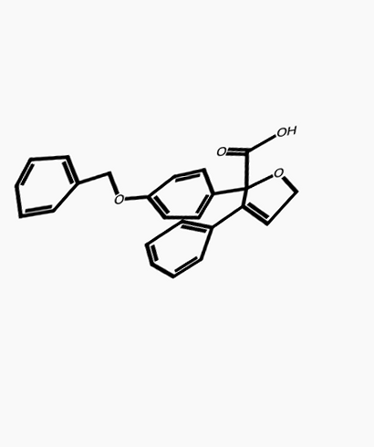 O=C(O)C1(c2ccc(OCc3ccccc3)cc2)OCC=C1c1ccccc1